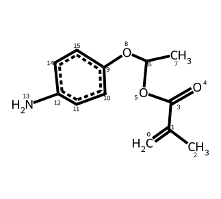 C=C(C)C(=O)OC(C)Oc1ccc(N)cc1